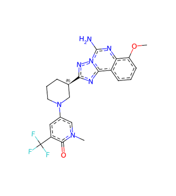 COc1cccc2c1nc(N)n1nc([C@@H]3CCCN(c4cc(C(F)(F)F)c(=O)n(C)c4)C3)nc21